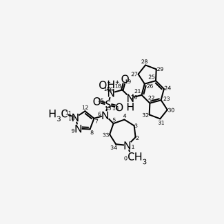 CN1CCCC(N(c2cnn(C)c2)S(=O)(=O)[NH+]([O-])C(=O)Nc2c3c(cc4c2CCC4)CCC3)CC1